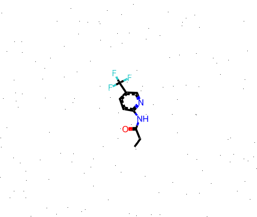 CCC(=O)Nc1ccc(C(F)(F)F)cn1